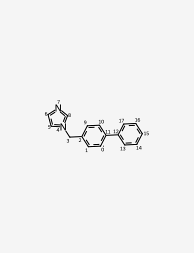 [c]1cc(Cn2ccnc2)ccc1-c1ccccc1